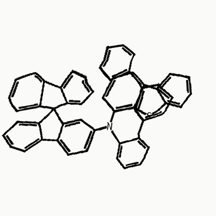 c1ccc(-c2cccc(-c3ccccc3N(c3ccc4c(c3)C3(c5ccccc5-c5ccccc53)c3ccccc3-4)c3cccc4c3sc3ccccc34)c2)cc1